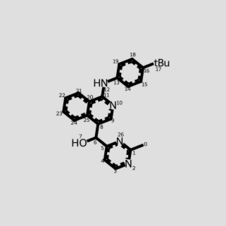 Cc1nccc(C(O)c2cnc(Nc3ccc(C(C)(C)C)cc3)c3ccccc23)n1